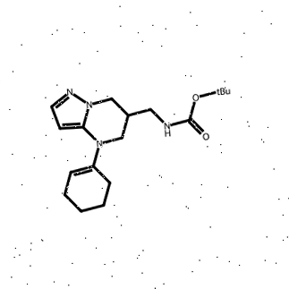 CC(C)(C)OC(=O)NCC1CN(C2=CCCCC2)c2ccnn2C1